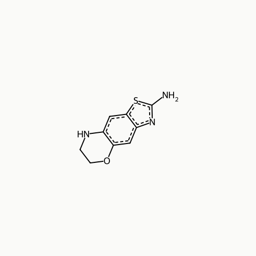 Nc1nc2cc3c(cc2s1)NCCO3